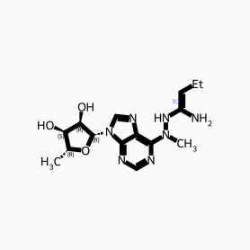 CC/C=C(\N)NN(C)c1ncnc2c1ncn2[C@@H]1O[C@H](C)[C@@H](O)[C@H]1O